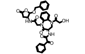 O=C(CN1C(=O)[C@@H](NC(=O)C(=O)c2ccccc2)CN(C(=O)CO)c2ccccc21)N[C@H]1CC(=O)OC1OCc1ccccc1